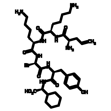 C=CC[C@H](N)C(=O)N[C@@H](CCCCN)C(=O)N[C@@H](CCCCN)C(=O)N[C@@H](CC)C(=O)N[C@@H](Cc1ccc(O)cc1)C(=O)N[C@H](C(=O)O)C1CCCCC1